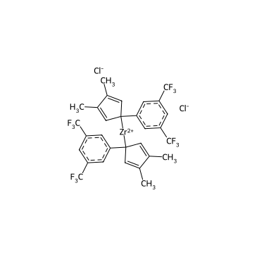 CC1=C[C]([Zr+2][C]2(c3cc(C(F)(F)F)cc(C(F)(F)F)c3)C=C(C)C(C)=C2)(c2cc(C(F)(F)F)cc(C(F)(F)F)c2)C=C1C.[Cl-].[Cl-]